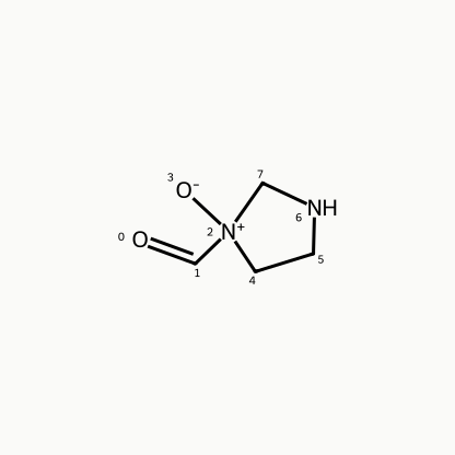 O=C[N+]1([O-])CCNC1